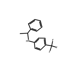 CC(Nc1ccc(C(F)(F)F)cc1)c1ccccc1